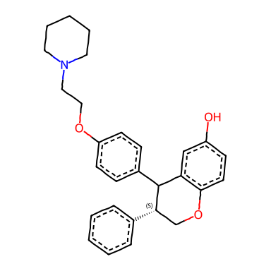 Oc1ccc2c(c1)C(c1ccc(OCCN3CCCCC3)cc1)[C@@H](c1ccccc1)CO2